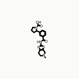 CN1CCc2nc(NC(=O)c3cccc(C4CCCN4C(=O)O)c3)sc2C1